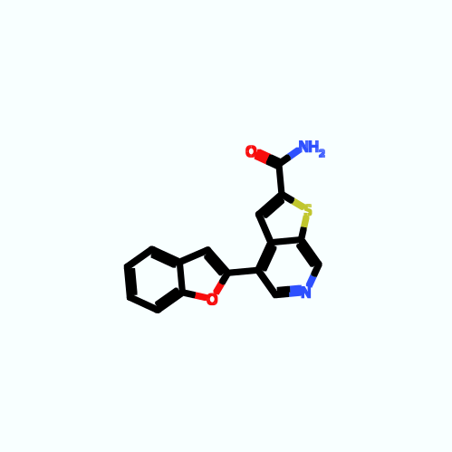 NC(=O)c1cc2c(-c3cc4ccccc4o3)cncc2s1